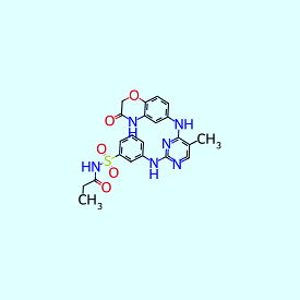 CCC(=O)NS(=O)(=O)c1cccc(Nc2ncc(C)c(Nc3ccc4c(c3)NC(=O)CO4)n2)c1